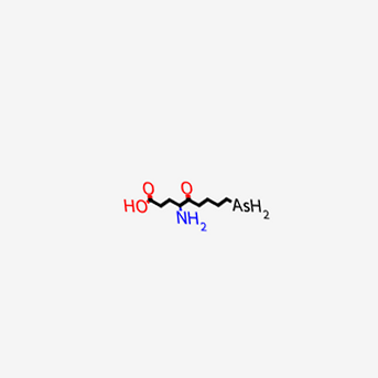 N[C@@H](CCC(=O)O)C(=O)CCCC[AsH2]